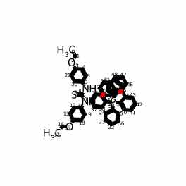 CCOc1ccc(NC(=S)Nc2ccc(OCC)cc2)cc1.c1ccc([PH](c2ccccc2)(c2ccccc2)c2ccccc2-c2cccc3ccccc23)cc1